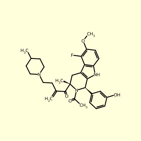 C=C(CCN1CCC(C)CC1)C(=O)[C@]1(C)Cc2c([nH]c3ccc(OC)c(F)c23)[C@@H](c2cccc(O)c2)N1C(C)=O